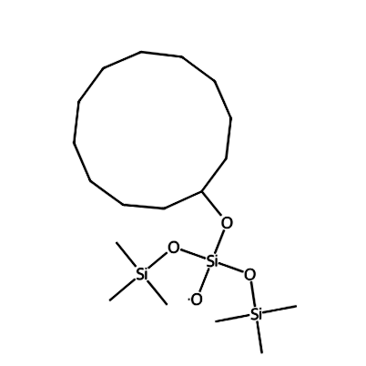 C[Si](C)(C)O[Si]([O])(OC1CCCCCCCCCCC1)O[Si](C)(C)C